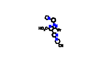 CC(C)c1nn(-c2cccc(N3CCCC3)c2)c2nc(C(=O)O)cc(-c3ccc(N4CCC(C#N)CC4)nc3)c12